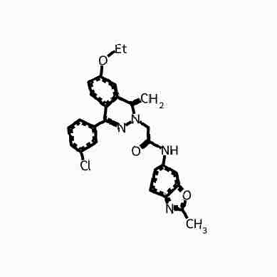 C=C1c2cc(OCC)ccc2C(c2cccc(Cl)c2)=NN1CC(=O)Nc1ccc2nc(C)oc2c1